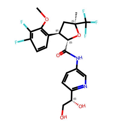 COc1c([C@H]2C[C@@](C)(C(F)(F)F)O[C@@H]2C(=O)Nc2ccc([C@H](O)CO)nc2)ccc(F)c1F